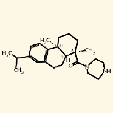 CC(C)c1ccc2c(c1)CC[C@H]1[C@](C)(C(=O)N3CCNCC3)CCC[C@]21C